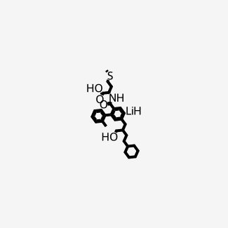 CSCCC(NC(=O)c1ccc(CC(CO)CCC2CCCCC2)cc1-c1ccccc1C)C(=O)O.[LiH]